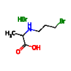 Br.CC(NCCCBr)C(=O)O